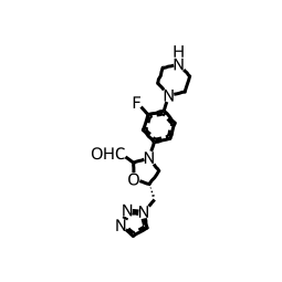 O=CC1O[C@@H](Cn2ccnn2)CN1c1ccc(N2CCNCC2)c(F)c1